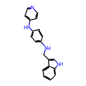 c1ccc2c(CNc3ccc(Nc4ccncc4)cc3)c[nH]c2c1